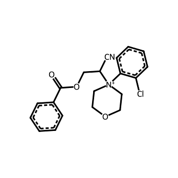 N#CC(COC(=O)c1ccccc1)[N+]1(c2ccccc2Cl)CCOCC1